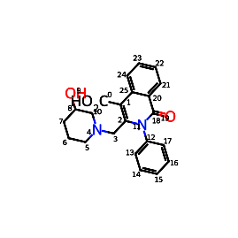 O=C(O)c1c(CN2CCCC(O)C2)n(-c2ccccc2)c(=O)c2ccccc12